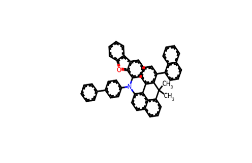 CC1(C)c2c(-c3cccc4ccccc34)cccc2-c2c(N(c3ccc(-c4ccccc4)cc3)c3cccc4c3oc3ccccc34)ccc3cccc1c23